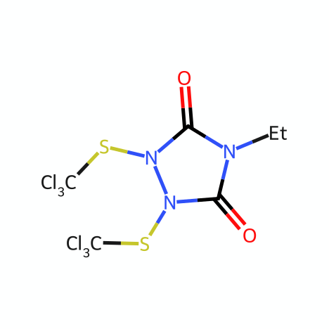 CCn1c(=O)n(SC(Cl)(Cl)Cl)n(SC(Cl)(Cl)Cl)c1=O